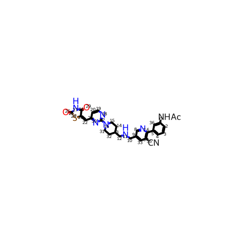 CC(=O)Nc1cccc(-c2ncc(CNCC3CCN(c4nccc(C=C5SC(=O)NC5=O)n4)CC3)cc2C#N)c1